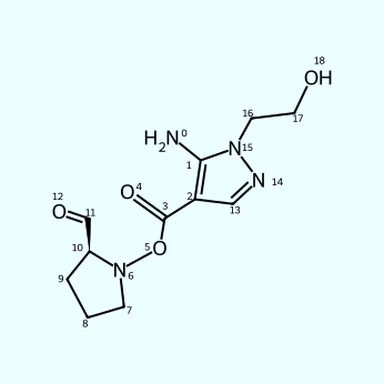 Nc1c(C(=O)ON2CCC[C@H]2C=O)cnn1CCO